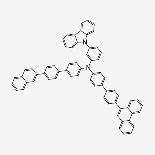 c1cc(N(c2ccc(-c3ccc(-c4ccc5ccccc5c4)cc3)cc2)c2ccc(-c3ccc(-c4cc5ccccc5c5ccccc45)cc3)cc2)cc(-n2c3ccccc3c3ccccc32)c1